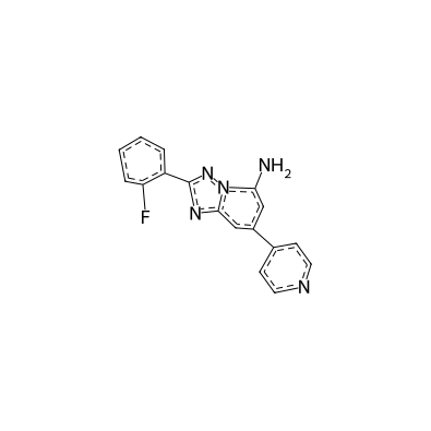 Nc1cc(-c2ccncc2)cc2nc(-c3ccccc3F)nn12